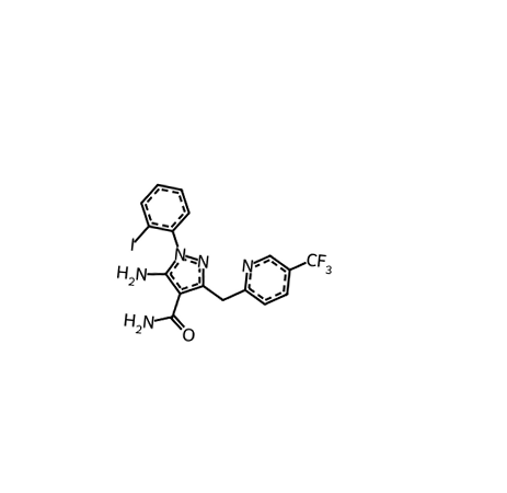 NC(=O)c1c(Cc2ccc(C(F)(F)F)cn2)nn(-c2ccccc2I)c1N